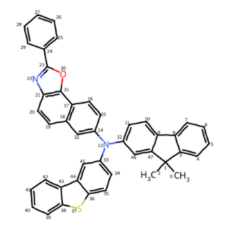 CC1(C)c2ccccc2-c2ccc(N(c3ccc4c(ccc5nc(-c6ccccc6)oc54)c3)c3ccc4sc5ccccc5c4c3)cc21